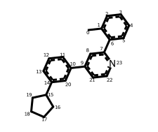 Cc1ccccc1-c1cc(-c2cccc(C3CCCC3)c2)ccn1